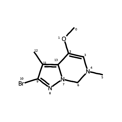 COC1=CN(C)Cn2nc(Br)c(C)c21